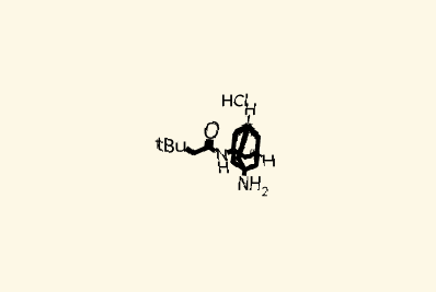 CC(C)(C)CC(=O)NC12C[C@@H]3C[C@@H](CC(N)(C3)C1)C2.Cl